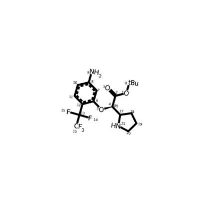 CC(C)(C)OC(=O)[C@H](Oc1cc(N)ccc1C(F)(F)C(F)(F)F)C1CCCN1